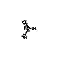 Nc1nc(C#Cc2cccnc2)c2ncn(Cc3ccccc3)c2n1